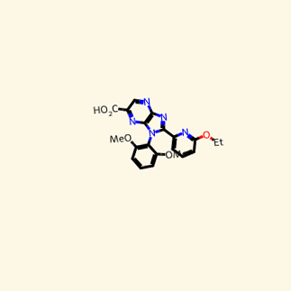 CCOc1cccc(-c2nc3ncc(C(=O)O)nc3n2-c2c(OC)cccc2OC)n1